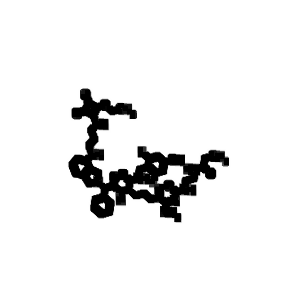 CCOc1c(NCCCNc2cccc3c2CN([C@H](C(=O)N[C@H](CCCN/C(N)=N\C(=O)NCCNC(=O)CC)C(=O)NCc2c(F)cc(O)cc2F)c2ccccc2)C3)c(=O)c1=O